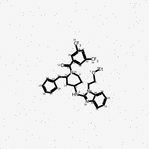 CCOCCn1c(NC2CCN(C(=O)c3cc(C(F)(F)F)cc(C(F)(F)F)c3)C(Cc3ccccc3)C2)nc2ccccc21